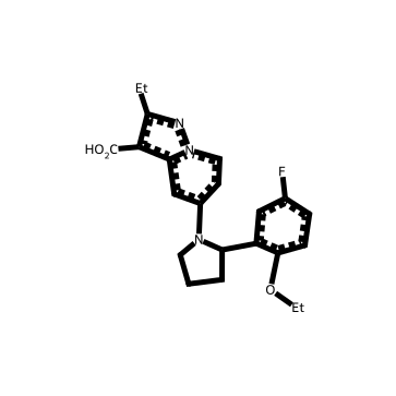 CCOc1ccc(F)cc1C1CCCN1c1ccn2nc(CC)c(C(=O)O)c2c1